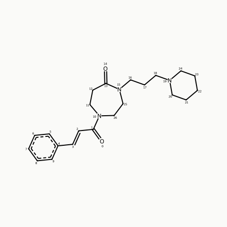 O=C(/C=C/c1ccccc1)N1CCC(=O)N(CCCN2CCCCC2)CC1